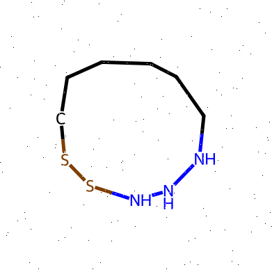 C1CCCSSNNNCC1